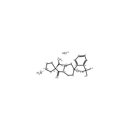 CC(C)[C@]1(C(=O)N2CCC(O)(c3ccccc3C(F)(F)F)CC2)CC[C@@H](N)C1.Cl